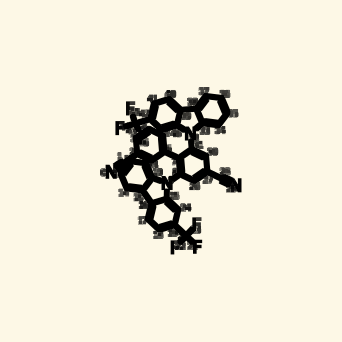 N#Cc1cccc(-c2c(-n3c4ccccc4c4ccc(C(F)(F)F)cc43)cc(C#N)cc2-n2c3ccccc3c3ccc(C(F)(F)F)cc32)c1